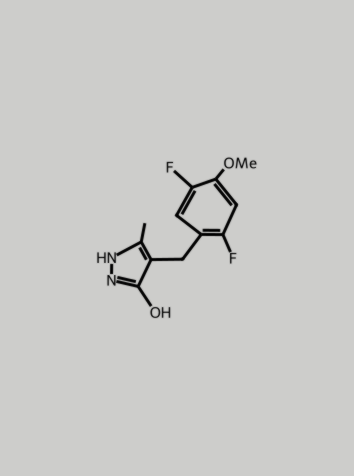 COc1cc(F)c(Cc2c(O)n[nH]c2C)cc1F